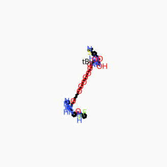 Cc1ncsc1-c1ccc(CNC(=O)C2C[C@@H](O)CN2C(=O)[C@@H](NC(=O)COCCOCCOCCOCCOCCOCCCCCCOCCCn2c(CNc3cccc(C(=O)NCc4c(F)cccc4F)c3)nnc2-c2ccncn2)C(C)(C)C)cc1